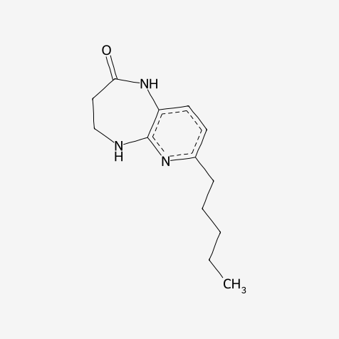 CCCCCc1ccc2c(n1)NCCC(=O)N2